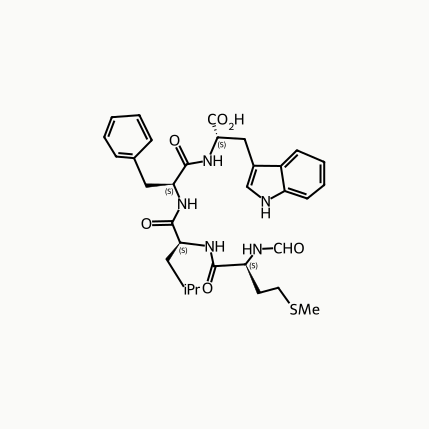 CSCC[C@H](NC=O)C(=O)N[C@@H](CC(C)C)C(=O)N[C@@H](Cc1ccccc1)C(=O)N[C@@H](Cc1c[nH]c2ccccc12)C(=O)O